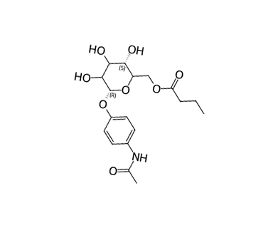 CCCC(=O)OCC1O[C@H](Oc2ccc(NC(C)=O)cc2)C(O)C(O)[C@@H]1O